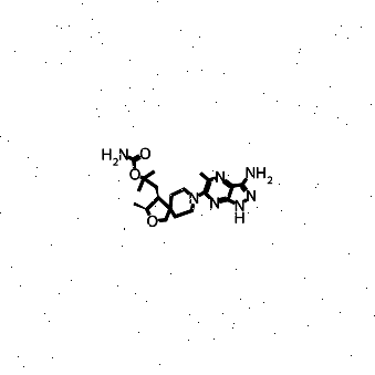 Cc1nc2c(N)n[nH]c2nc1N1CCC2(CC1)CO[C@@H](C)[C@H]2CC(C)(C)OC(N)=O